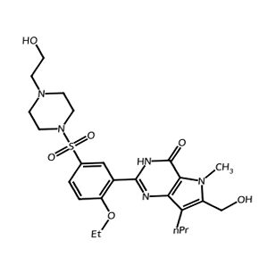 CCCc1c(CO)n(C)c2c(=O)[nH]c(-c3cc(S(=O)(=O)N4CCN(CCO)CC4)ccc3OCC)nc12